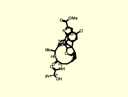 COC(=O)c1coc(-c2nc3oc2C24c5cc(Cl)ccc5NC2Oc2ccc(cc24)C[C@H](NC(=O)[C@@H](O)C(C)C)C(=O)NC3C(C)(C)C)n1